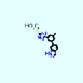 Cc1cc(-c2ccc3cn[nH]c3c2)cc(-c2nnc(SCC(=O)O)[nH]2)c1